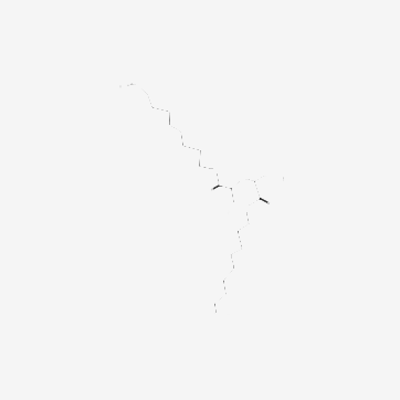 CCCCCCCCCCCCCCCCCCOC(=O)C(C)SC(C)C(=O)OCCCCCCCCCCCCCCCCCC